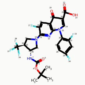 CC(C)(C)OC(=O)N[C@H]1CN(c2nc3c(cc2F)c(=O)c(C(=O)O)cn3-c2ccc(F)cc2F)C[C@@H]1C(F)(F)F